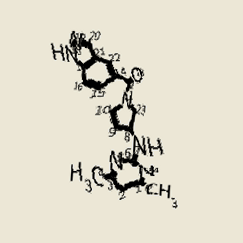 Cc1cc(C)nc(NC2CCN(C(=O)c3ccc4[nH]ncc4c3)C2)n1